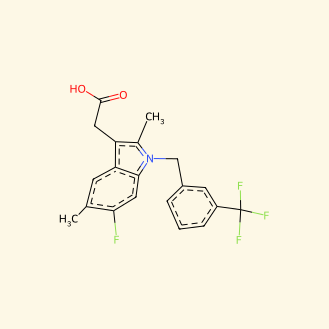 Cc1cc2c(CC(=O)O)c(C)n(Cc3cccc(C(F)(F)F)c3)c2cc1F